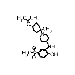 CC(C)O[C@H]1CC[C@](C)(N2CCC(Nc3cc(S(C)(=O)=O)ccc3O)CC2)CC1